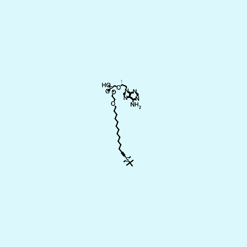 C[C@H](Cn1cnc2c(N)ncnc21)OCP(=O)(O)OCCOCCCCCCCCCCCCC#CS(C)(C)C(C)(C)C